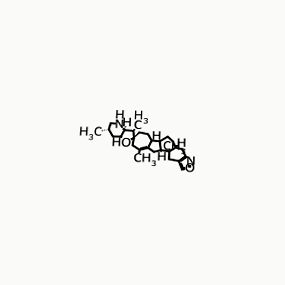 CC1=C2C[C@H]3[C@@H](CC[C@@H]4Cc5nocc5C[C@@]43C)C2CC[C@@]2(C1)O[C@@H]1C[C@H](C)CN[C@H]1[C@H]2C